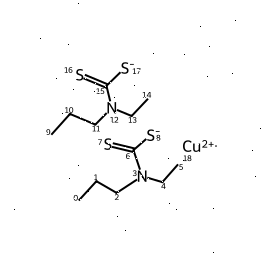 CCCN(CC)C(=S)[S-].CCCN(CC)C(=S)[S-].[Cu+2]